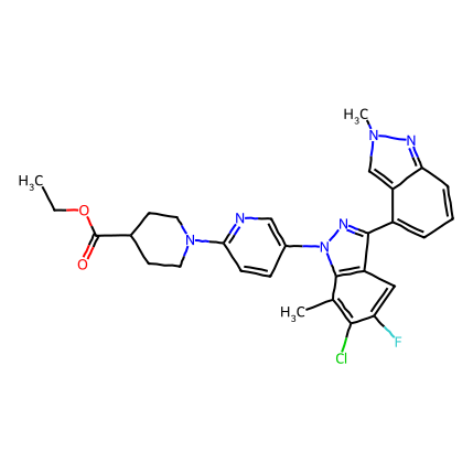 CCOC(=O)C1CCN(c2ccc(-n3nc(-c4cccc5nn(C)cc45)c4cc(F)c(Cl)c(C)c43)cn2)CC1